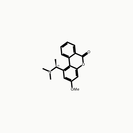 COc1cc([C@H](C)N(C)C)c2c(c1)oc(=O)c1ccccc12